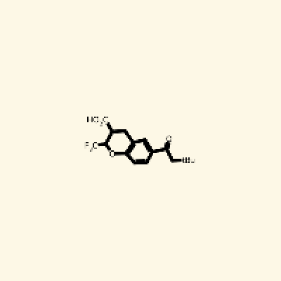 CC(C)(C)CC(=O)c1ccc2c(c1)CC(C(=O)O)C(C(F)(F)F)O2